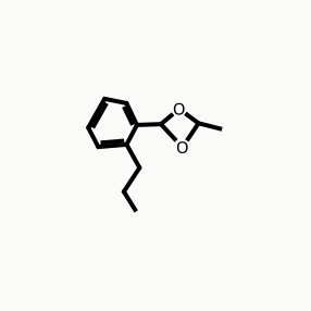 CCCc1ccccc1C1OC(C)O1